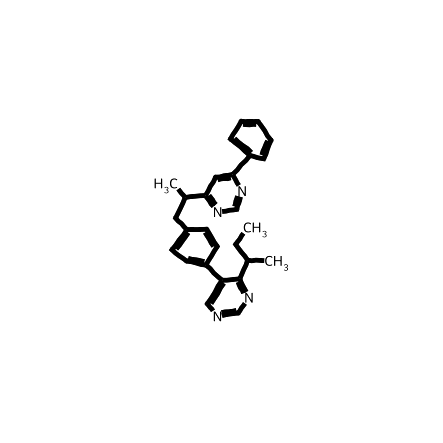 CCC(C)c1ncncc1-c1ccc(CC(C)c2cc(-c3ccccc3)ncn2)cc1